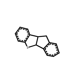 c1ccc2c(c1)CC1c3ccccc3SC21